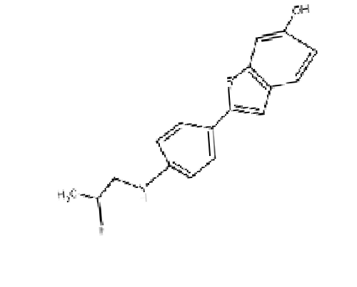 CC(F)CNc1ccc(-c2cc3ccc(O)cc3s2)cc1